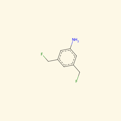 Nc1cc(CF)cc(CF)c1